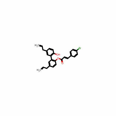 C=CCc1ccc(O)c(-c2cc(CC=C)ccc2OC(=O)/C=C/c2ccc(Br)cc2)c1